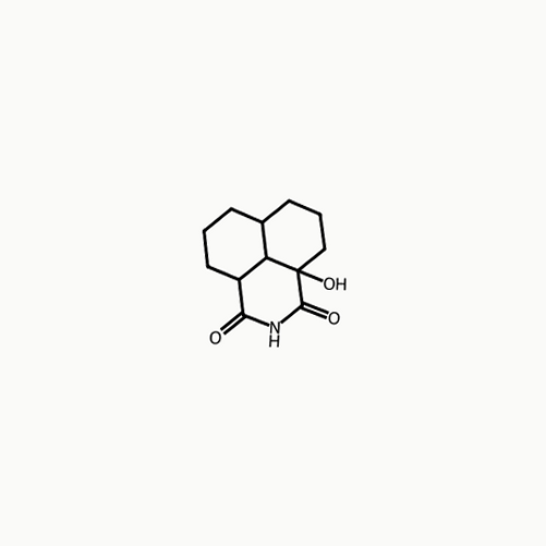 O=C1NC(=O)C2(O)CCCC3CCCC1C32